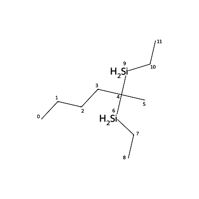 CCCCC(C)([SiH2]CC)[SiH2]CC